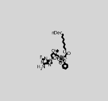 C#C[C@]1(CO[P@](=O)(N[C@@H](C)C(=O)OCCCCCCCCCCCCCCCCC)Oc2ccccc2)O[C@@H](n2cnc3c(N)nc(F)nc32)C[C@@H]1O